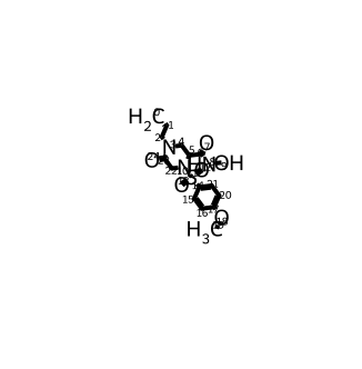 C=CCN1CC(C(=O)NO)N(S(=O)(=O)c2ccc(OC)cc2)CC1=O